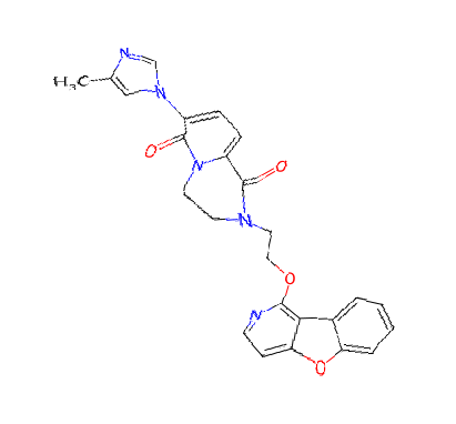 Cc1cn(-c2ccc3n(c2=O)CCN(CCOc2nccc4oc5ccccc5c24)C3=O)cn1